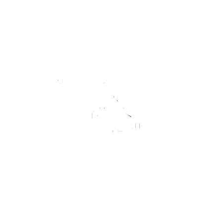 COc1ccc(S(=O)(=O)N(Cc2ccccc2)[C@@H](CS)C(C)C)cc1